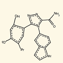 CC(C)c1cc(-c2nnc(C(N)=O)n2-c2ccc3[nH]ccc3c2)c(O)cc1O